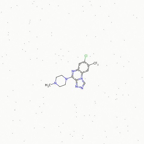 CN1CCN(c2nc3cc(Cl)c(C(F)(F)F)cc3n3cnnc23)CC1